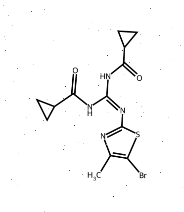 Cc1nc(N=C(NC(=O)C2CC2)NC(=O)C2CC2)sc1Br